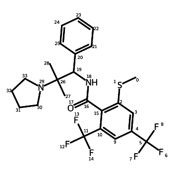 CSc1cc(C(F)(F)F)cc(C(F)(F)F)c1C(=O)NC(c1ccccc1)C(C)(C)N1CCCC1